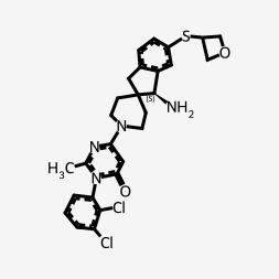 Cc1nc(N2CCC3(CC2)Cc2ccc(SC4COC4)cc2[C@H]3N)cc(=O)n1-c1cccc(Cl)c1Cl